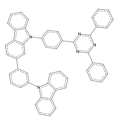 c1ccc(-c2nc(-c3ccccc3)nc(-c3ccc(-n4c5ccccc5c5ccc(-c6cccc(-n7c8ccccc8c8ccccc87)c6)cc54)cc3)n2)cc1